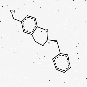 OCc1ccc2c(c1)CC[C@H](Cc1ccccc1)O2